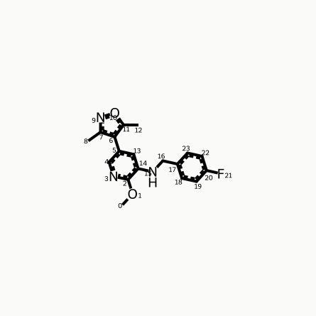 COc1ncc(-c2c(C)noc2C)cc1NCc1ccc(F)cc1